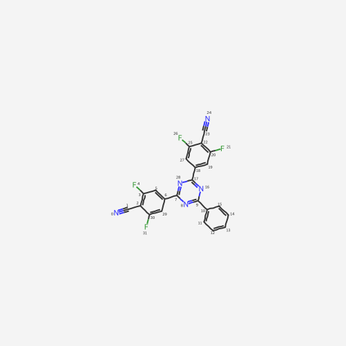 N#Cc1c(F)cc(-c2nc(-c3ccccc3)nc(-c3cc(F)c(C#N)c(F)c3)n2)cc1F